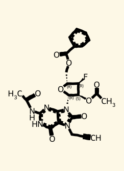 C#CCn1c(=O)n([C@@H]2O[C@H](COC(=O)c3ccccc3)[C@@H](F)[C@H]2OC(C)=O)c2nc(NC(C)=O)[nH]c(=O)c21